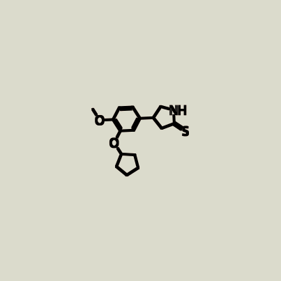 COc1ccc(C2CNC(=S)C2)cc1OC1CCCC1